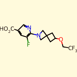 O=C(O)c1cnc(N2CC3(CC(OCC(F)(F)F)C3)C2)c(F)c1